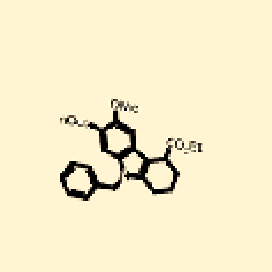 CCCCCCCCc1cc2c(cc1OC)c1c(n2Cc2ccccc2)CCCC1C(=O)OCC